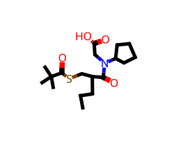 CCCC(CSC(=O)C(C)(C)C)C(=O)N(CC(=O)O)C1CCCC1